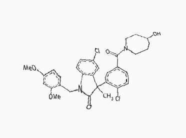 COc1ccc(CN2C(=O)C(C)(c3cc(C(=O)N4CCC(O)CC4)ccc3Cl)c3cc(Cl)ccc32)c(OC)c1